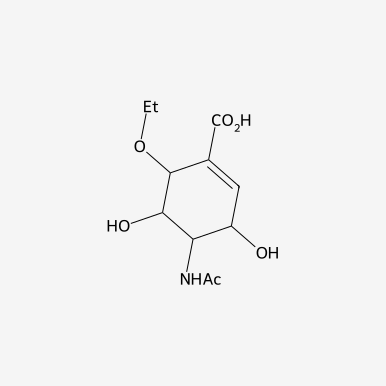 CCOC1C(C(=O)O)=CC(O)C(NC(C)=O)C1O